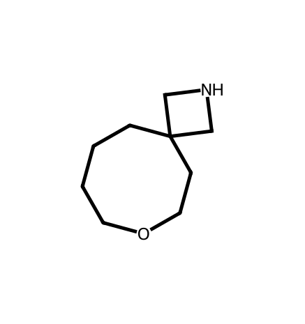 C1CCC2(CCOC1)CNC2